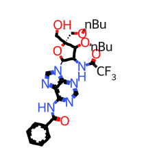 CCCCOC[C@@]1(CO)O[C@@H](n2cnc3c(NC(=O)c4ccccc4)ncnc32)C(NC(=O)C(F)(F)F)C1OCCCC